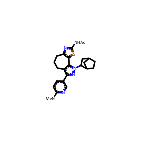 CNc1ccc(-c2nn(C3CC4CCC3C4)c3c2CCCc2nc(NC(C)=O)sc2-3)cn1